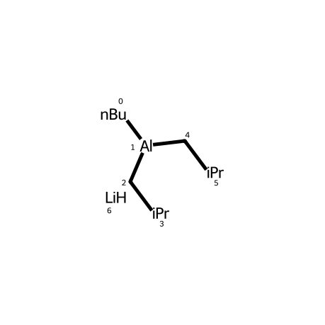 CCC[CH2][Al]([CH2]C(C)C)[CH2]C(C)C.[LiH]